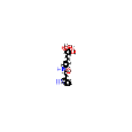 COc1cc(/C=C/c2ccc(NC(=O)/C=C/c3c[nH]c4ccccc34)cc2)cc(OC)c1OC